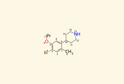 Cc1cc(Br)c(OC(C)C)cc1C1CCNCC1